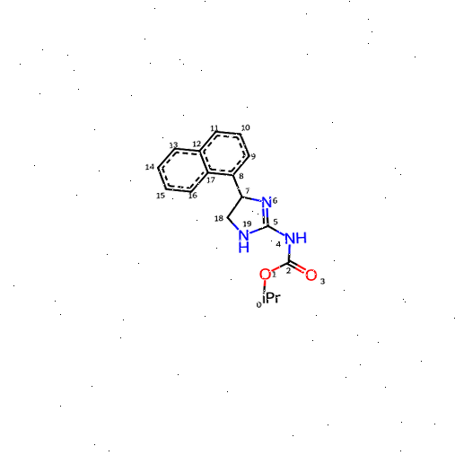 CC(C)OC(=O)NC1=NC(c2cccc3ccccc23)CN1